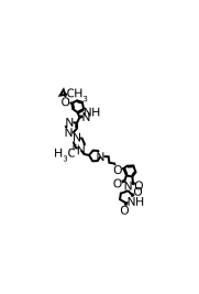 C[C@H]1CN(c2cc(-c3n[nH]c4ccc(OC5(C)CC5)cc34)ncn2)CCN1CC1CCN(CCCOc2cccc3c2C(=O)N(C2CCC(=O)NC2=O)C3=O)CC1